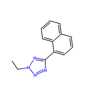 CCn1nnc(-c2cccc3ccccc23)n1